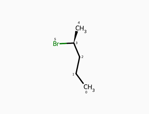 CCC[C@H](C)Br